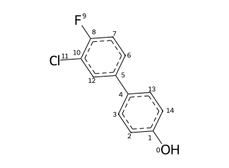 Oc1ccc(-c2ccc(F)c(Cl)c2)cc1